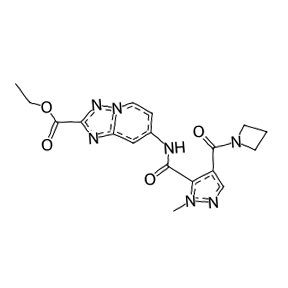 CCOC(=O)c1nc2cc(NC(=O)c3c(C(=O)N4CCC4)cnn3C)ccn2n1